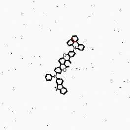 C=C1c2ccc(N(c3ccccc3)c3ccccc3-c3ccccc3)cc2Oc2ccc3c(c21)C(=C)Oc1cc(N(c2ccccc2)c2ccc4c(c2)C(C)(C)c2ccccc2-4)ccc1-3